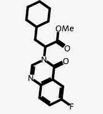 COC(=O)C(CC1CCCCC1)n1cnc2ccc(F)cc2c1=O